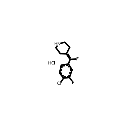 Cl.FC(=C1CCNCC1)c1ccc(Cl)c(F)c1